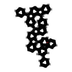 c1ccc(-c2cc(-c3cccc4c5ccc6c(c7ccccc7n6-c6ccc7c(c6)c6c(ccc8c9ccccc9n(-c9ccccc9)c86)n7-c6ccccc6)c5n(-c5ccccc5)c34)nc(-c3ccccc3)n2)cc1